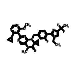 CCn1cc(C(C)(F)F)nc1-c1ccc(CN2c3nc(-c4c(OC)ncnc4C4CC4)ncc3N(C)C(=O)C23CC3)cc1F